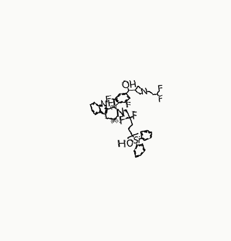 C[C@@H]1Cc2c([nH]c3ccccc23)[C@@H](c2c(F)cc(C(O)C3CN(CCC(F)F)C3)cc2F)N1CC(F)(F)CCC(C)(C)[Si](O)(c1ccccc1)c1ccccc1